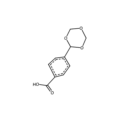 O=C(O)c1ccc(C2OCOCO2)cc1